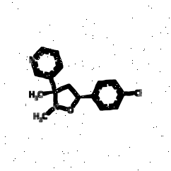 CN1O[C@H](c2ccc(Cl)cc2)C[C@@]1(C)c1cccnc1